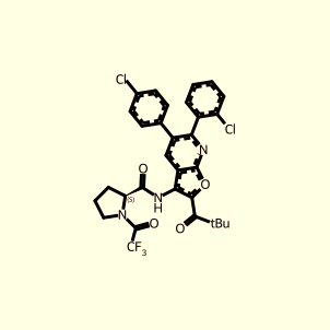 CC(C)(C)C(=O)c1oc2nc(-c3ccccc3Cl)c(-c3ccc(Cl)cc3)cc2c1NC(=O)[C@@H]1CCCN1C(=O)C(F)(F)F